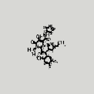 CCn1cc(C(c2cc(F)c(F)cc2Cl)C(C)c2nc(C(=O)Nc3cnoc3)c(O)c(=O)n2C)cn1